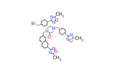 Cc1nc(-c2ccc(CBr)cc2)no1.Cc1nc(-c2ccc(CN3CCN(Cc4ccc5ccc(-c6noc(C)n6)cc5c4)C(=O)C3)cc2)no1